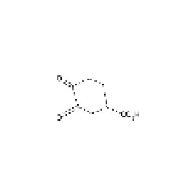 O=C1CCN(C(=O)O)CC1=O